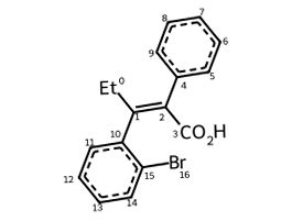 CC/C(=C(/C(=O)O)c1ccccc1)c1ccccc1Br